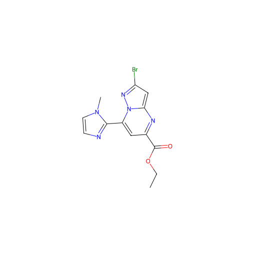 CCOC(=O)c1cc(-c2nccn2C)n2nc(Br)cc2n1